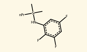 CCC[Si](C)(C)Nc1cc(F)cc(F)c1F